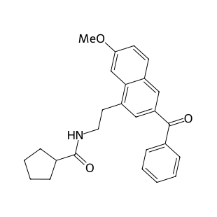 COc1ccc2cc(C(=O)c3ccccc3)cc(CCNC(=O)C3CCCC3)c2c1